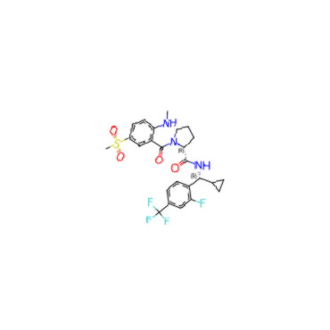 CNc1ccc(S(C)(=O)=O)cc1C(=O)N1CCC[C@@H]1C(=O)N[C@@H](c1ccc(C(F)(F)F)cc1F)C1CC1